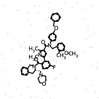 COc1cccc(CN(C(=O)c2cc(-c3cc(F)ccc3C(=O)N3Cc4ccccc4C[C@H]3CN3CCOCC3)n(C)c2C)c2ccc(OCc3ccccc3)cc2)c1C